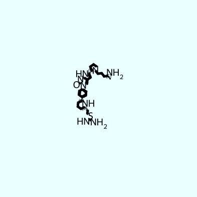 C[C@H](N)CCCN1CCC[C@H]1c1cc2cn(-c3ccc([C@@H]4CCC[C@@H](CCSC(=N)N)N4)cc3)c(=O)nc2[nH]1